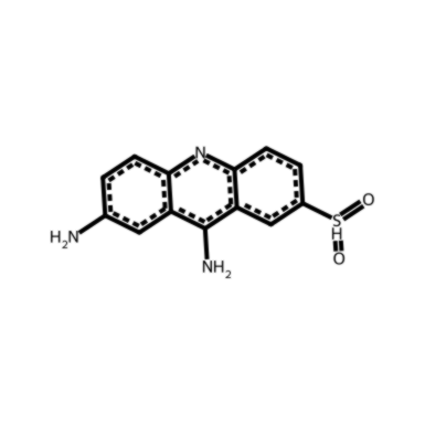 Nc1ccc2nc3ccc([SH](=O)=O)cc3c(N)c2c1